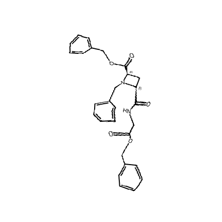 O=C(CNC(=O)[C@@H]1C[C@H](C(=O)OCc2ccccc2)N1Cc1ccccc1)OCc1ccccc1